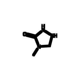 CN1CNNC1=O